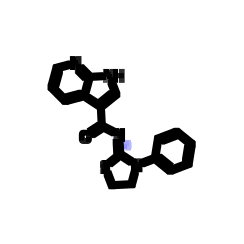 O=C(/N=C1\SCCN1c1ccccc1)c1c[nH]c2ncccc12